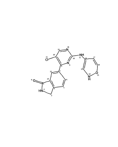 O=C1NCc2ccc(-c3nc(NC4=CNOC=C4)ncc3Cl)cc21